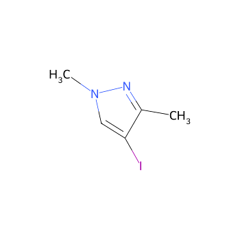 Cc1nn(C)cc1I